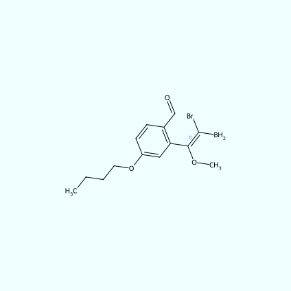 B/C(Br)=C(\OC)c1cc(OCCCC)ccc1C=O